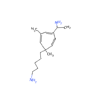 CC1=CC(C)(CCCCCN)C=CC(C(C)N)=C1